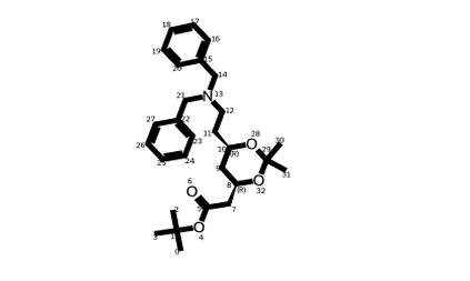 CC(C)(C)OC(=O)C[C@H]1C[C@@H](CCN(Cc2ccccc2)Cc2ccccc2)OC(C)(C)O1